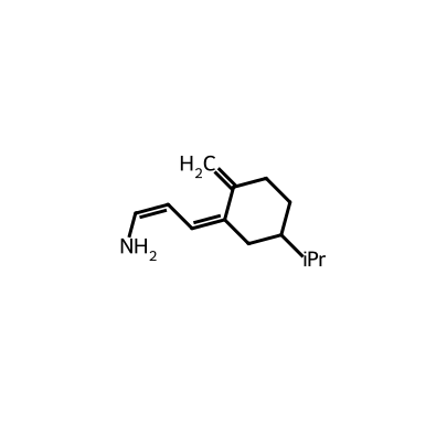 C=C1CCC(C(C)C)C/C1=C/C=C\N